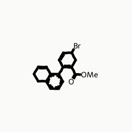 COC(=O)C1=C(c2cccc3c2C=CCC3)C=CC(Br)C1